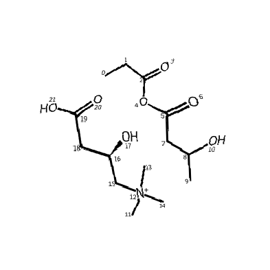 CCC(=O)OC(=O)CC(C)O.C[N+](C)(C)C[C@H](O)CC(=O)O